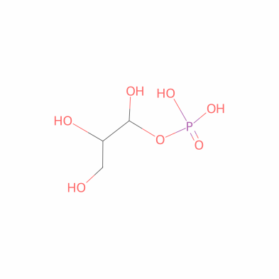 O=P(O)(O)OC(O)C(O)CO